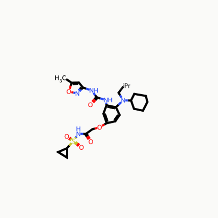 Cc1cc(NC(=O)Nc2cc(OCC(=O)NS(=O)(=O)C3CC3)ccc2N(CC(C)C)C2CCCCC2)no1